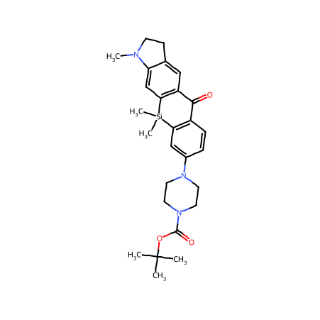 CN1CCc2cc3c(cc21)[Si](C)(C)c1cc(N2CCN(C(=O)OC(C)(C)C)CC2)ccc1C3=O